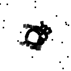 CO[C@H]1C/C=C\CN(C)C(=O)C[C@@](O)(C(=O)O)c2ccc3c(c2)N(C[C@@H]2CC[C@H]21)C[C@@]1(CCCc2cc(Cl)ccc21)CO3